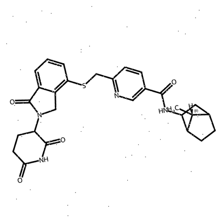 C[C@@H]1C2CCC1C(NC(=O)c1ccc(CSc3cccc4c3CN(C3CCC(=O)NC3=O)C4=O)nc1)C2